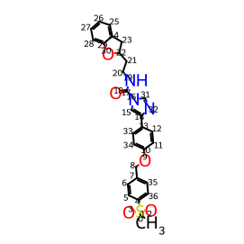 CS(=O)(=O)c1ccc(COc2ccc(-c3cn(C(=O)NCCC4Cc5ccccc5O4)cn3)cc2)cc1